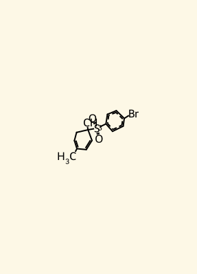 CC1=CCC(C)(S(=O)(=O)c2ccc(Br)cc2)C=C1